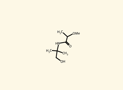 COC(C)C(=O)NC(C)(C)CO